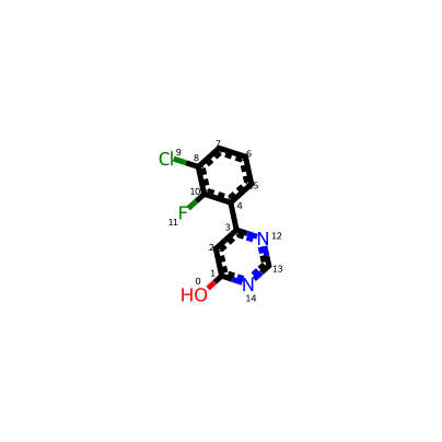 Oc1cc(-c2[c]ccc(Cl)c2F)ncn1